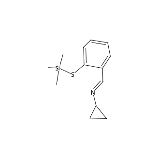 C[Si](C)(C)Sc1ccccc1C=NC1CC1